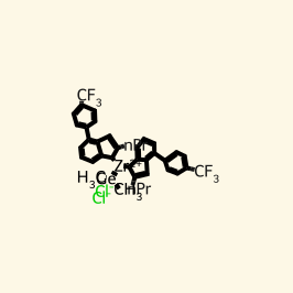 CCCC1=Cc2c(-c3ccc(C(F)(F)F)cc3)cccc2[CH]1[Zr+2]([CH]1C(CCC)=Cc2c(-c3ccc(C(F)(F)F)cc3)cccc21)=[Ge]([CH3])[CH3].[Cl-].[Cl-]